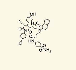 CN1/C(=C\C=C2/C(=O)N(c3ccc(C#N)cc3)C(=O)C(C#N)=C2c2ccc(O)cc2)N(CCCC(=O)Nc2ccc(S(N)(=O)=O)cc2)c2ccc3ccccc3c21